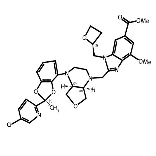 COC(=O)c1cc(OC)c2nc(CN3CCN(c4cccc5c4O[C@@](C)(c4ccc(Cl)cn4)O5)[C@@H]4COC[C@@H]43)n(C[C@@H]3CCO3)c2c1